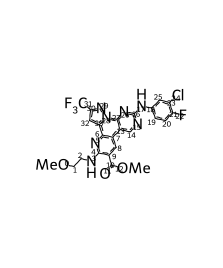 COCCNc1nc2c(cc1C(=O)OC)c1cnc(Nc3ccc(F)c(Cl)c3)nc1n1nc(C(F)(F)F)cc21